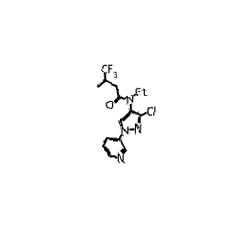 CCN(C(=O)CC(C)C(F)(F)F)c1cn(-c2cccnc2)nc1Cl